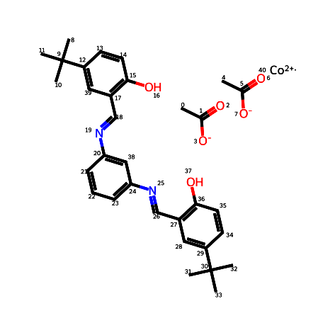 CC(=O)[O-].CC(=O)[O-].CC(C)(C)c1ccc(O)c(C=Nc2cccc(N=Cc3cc(C(C)(C)C)ccc3O)c2)c1.[Co+2]